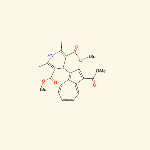 COC(=O)c1cc(C2C(C(=O)OC(C)(C)C)=C(C)NC(C)=C2C(=O)OC(C)(C)C)c2cccccc1-2